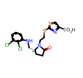 O=C(O)c1csc(SCCN2C(=O)CC[C@@H]2CNc2cccc(Cl)c2Cl)n1